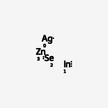 [Ag].[In].[Se].[Zn]